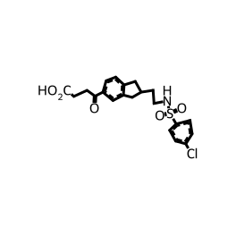 O=C(O)CCC(=O)c1ccc2c(c1)CC(CCNS(=O)(=O)c1ccc(Cl)cc1)C2